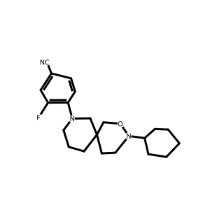 N#Cc1ccc(N2CCCC3(CCN(C4CCCCC4)OC3)C2)c(F)c1